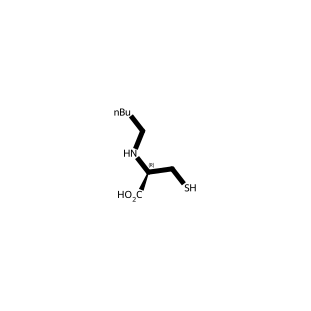 CCCCCN[C@@H](CS)C(=O)O